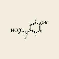 CN(C(=O)O)c1ccc(Br)cc1